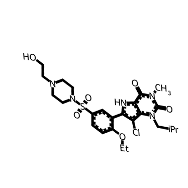 CCOc1ccc(S(=O)(=O)N2CCN(CCO)CC2)cc1-c1[nH]c2c(=O)n(C)c(=O)n(CC(C)C)c2c1Cl